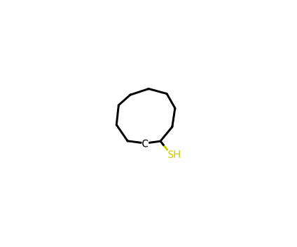 SC1CCCCCCCCC1